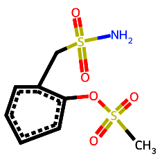 CS(=O)(=O)Oc1ccccc1CS(N)(=O)=O